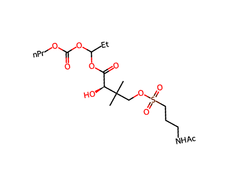 CCCOC(=O)OC(CC)OC(=O)[C@H](O)C(C)(C)COS(=O)(=O)CCCNC(C)=O